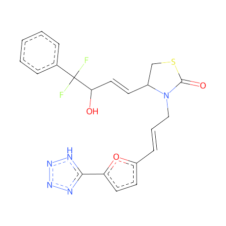 O=C1SCC(C=CC(O)C(F)(F)c2ccccc2)N1CC=Cc1ccc(-c2nnn[nH]2)o1